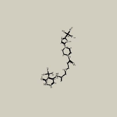 CC(COCCC(=O)N1CCN(c2cnc(C(F)(F)F)s2)CC1)Nc1cn[nH]c(=O)c1C(F)(F)F